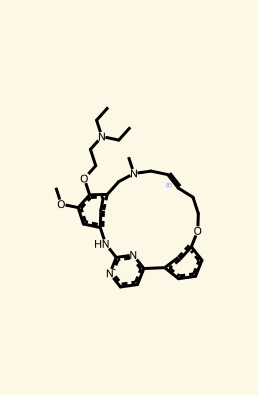 CCN(CC)CCOc1c2cc(cc1OC)Nc1nccc(n1)-c1cccc(c1)OCC/C=C/CN(C)C2